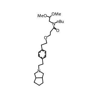 CCCCN(CC(OC)OC)C(=O)CCOCCc1ccc(CCN2CC3CCCC3C2)cc1